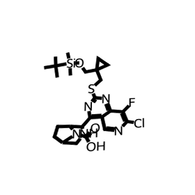 CC(C)(C)[Si](C)(C)OCC1(CSc2nc(C3NCC4CCC3N4C(=O)O)c3cnc(Cl)c(F)c3n2)CC1